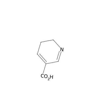 O=C(O)C1=CCCN=C1